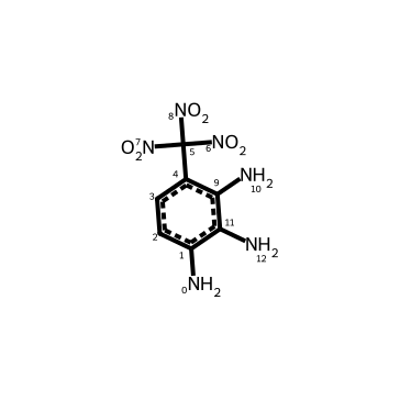 Nc1ccc(C([N+](=O)[O-])([N+](=O)[O-])[N+](=O)[O-])c(N)c1N